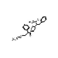 CSCCC(C(=O)N1CCC(C(Cc2ccccc2)N(C)C)CC1)c1ccccc1